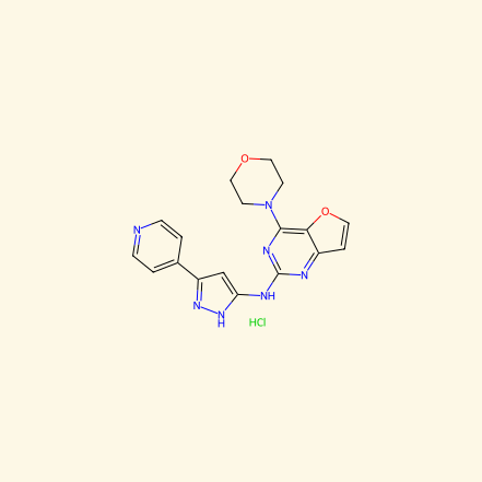 Cl.c1cc(-c2cc(Nc3nc(N4CCOCC4)c4occc4n3)[nH]n2)ccn1